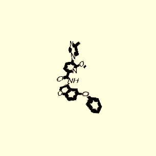 COc1nc(C(=O)N[C@@H]2COc3ccc(Oc4ccccc4)cc32)ccc1-n1cnc(C)c1